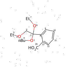 CCCCOC(COCC)(OCC)c1ccccc1C(=O)O